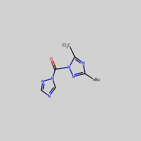 CCCCc1nc(C(Cl)(Cl)Cl)n(C(=O)n2cncn2)n1